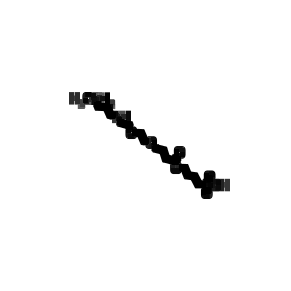 C[SiH2]CCCNCCOCCOCCCC(=O)OCCCCS(=O)(=O)O